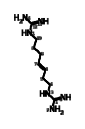 N=C(N)NCCC=CCCCNC(=N)N